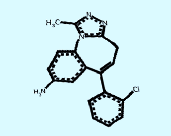 Cc1nnc2n1-c1ccc(N)cc1C(c1ccccc1Cl)=CC2